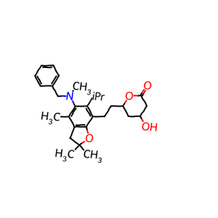 Cc1c2c(c(CCC3CC(O)CC(=O)O3)c(C(C)C)c1N(C)Cc1ccccc1)OC(C)(C)C2